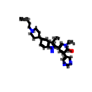 COCCN1CCC(c2ccc3[nH]c(-c4cc(-c5cncnc5)c(=O)n(C)c4)c(C(C)C)c3c2)CC1